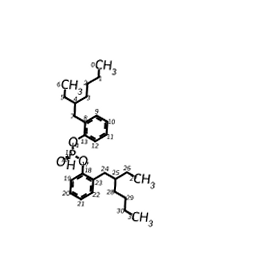 CCCCC(CC)Cc1ccccc1O[PH](=O)Oc1ccccc1CC(CC)CCCC